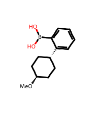 CO[C@H]1CC[C@H](c2ccccc2B(O)O)CC1